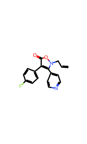 C=CCn1oc(=O)c(-c2ccc(F)cc2)c1-c1ccncc1